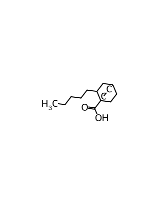 CCCCCC1CC2CCC1(C(=O)O)CC2